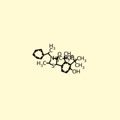 CC1SC(c2ccc(O)c(C(C)(C)C)c2C(C)(C)C)C(=O)N1C(C)c1ccccc1